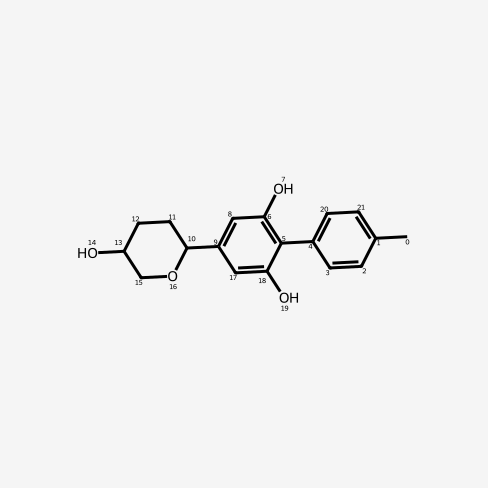 Cc1ccc(-c2c(O)cc(C3CCC(O)CO3)cc2O)cc1